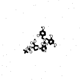 COC(=O)C1CN(c2cncc3nc(N(Cc4ccc(OC)cc4OC)Cc4ccc(OC)cc4OC)oc23)CCC1NC(=O)OC(C)(C)C